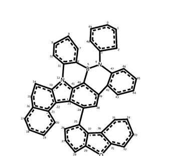 c1ccc(N2B3c4ccccc4-n4c5ccc6ccccc6c5c5c(-c6cccc7oc8ccccc8c67)cc(c3c54)-c3ccccc32)cc1